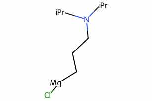 CC(C)N(CC[CH2][Mg][Cl])C(C)C